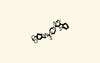 S=C(NCc1ccc2c(c1)OCO2)N1CCN(c2ncnc3c2sc2ccccc23)CC1